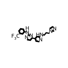 FC(F)(F)c1cccc(Nc2nccc(-c3ccnc(NCCCn4ccnc4)c3)n2)c1